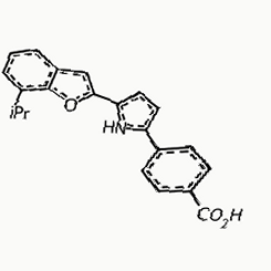 CC(C)c1cccc2cc(-c3ccc(-c4ccc(C(=O)O)cc4)[nH]3)oc12